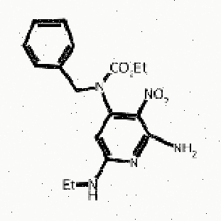 CCNc1cc(N(Cc2ccccc2)C(=O)OCC)c([N+](=O)[O-])c(N)n1